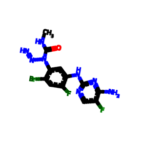 CNC(=O)N(N=N)c1cc(Nc2ncc(F)c(N)n2)c(F)cc1Br